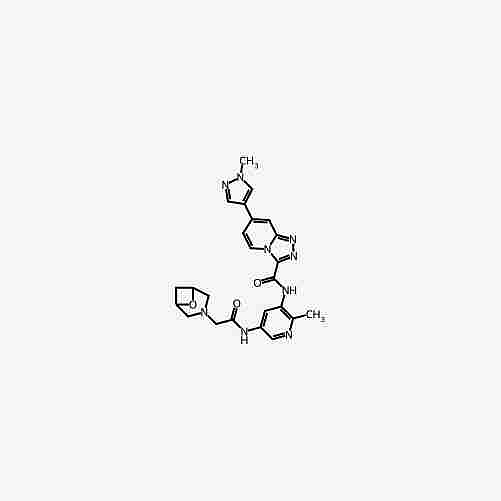 Cc1ncc(NC(=O)CN2CC3CC(C2)O3)cc1NC(=O)c1nnc2cc(-c3cnn(C)c3)ccn12